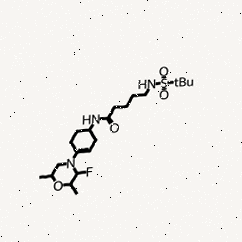 CC1CN(C2=CCC(NC(=O)CCCCNS(=O)(=O)C(C)(C)C)CC2)C(F)C(C)O1